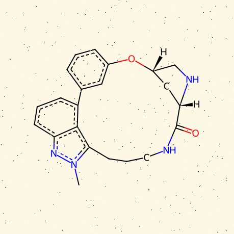 Cn1nc2cccc3c2c1CCCNC(=O)[C@@H]1C[C@@H](CN1)Oc1cccc-3c1